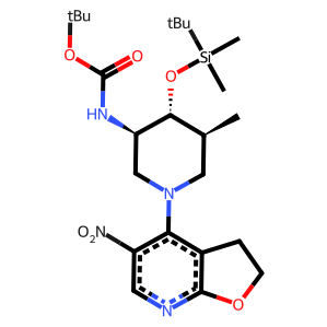 C[C@H]1CN(c2c([N+](=O)[O-])cnc3c2CCO3)C[C@@H](NC(=O)OC(C)(C)C)[C@@H]1O[Si](C)(C)C(C)(C)C